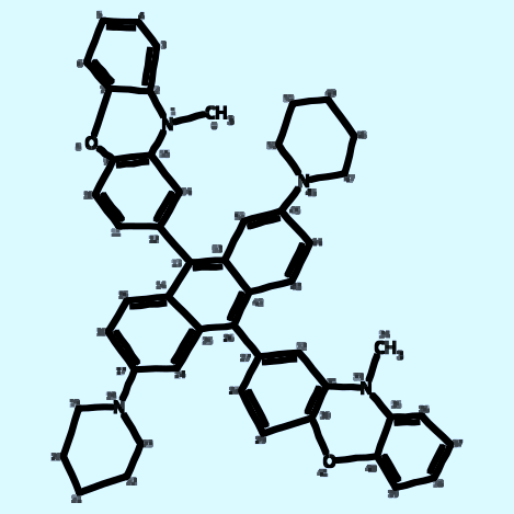 CN1c2ccccc2Oc2ccc(-c3c4ccc(N5CCCCC5)cc4c(-c4ccc5c(c4)N(C)c4ccccc4O5)c4ccc(N5CCCCC5)cc34)cc21